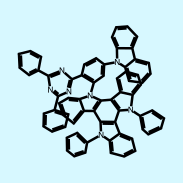 c1ccc(-c2nc(-c3ccccc3)nc(-c3ccc(-n4c5ccccc5c5ccccc54)cc3-n3c4ccccc4c4c5c(c6ccccc6n5-c5ccccc5)c5c(c6ccccc6n5-c5ccccc5)c43)n2)cc1